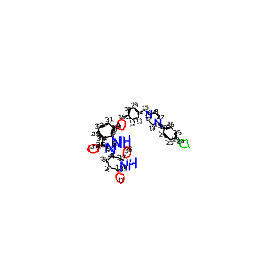 O=C1CCC(n2[nH]c3c(OCc4ccc(CN5CCN(c6ccc(Cl)cc6)CC5)cc4)cccc3c2=O)C(=O)N1